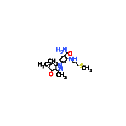 CSCCCNc1cc(-n2nc(C)c3c2CC(C)(C)CC3=O)ccc1C(N)=O